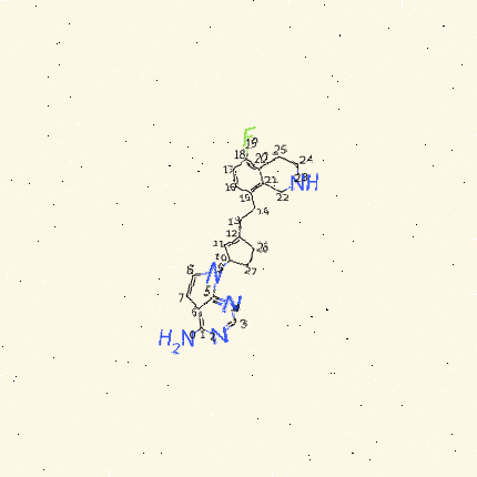 Nc1ncnc2c1ccn2C1C=C(CCc2ccc(F)c3c2CNCC3)CC1